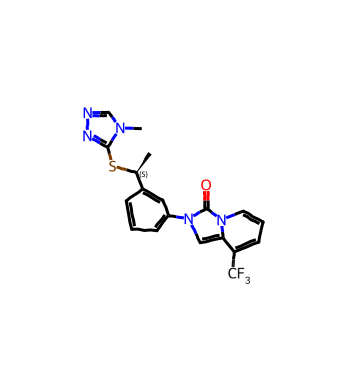 C[C@H](Sc1nncn1C)c1cccc(-n2cc3c(C(F)(F)F)cccn3c2=O)c1